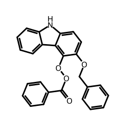 O=C(OOc1c(OCc2ccccc2)ccc2[nH]c3ccccc3c12)c1ccccc1